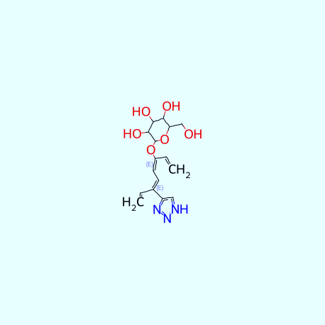 C=C/C(=C\C=C(/C=C)c1c[nH]nn1)OC1OC(CO)C(O)C(O)C1O